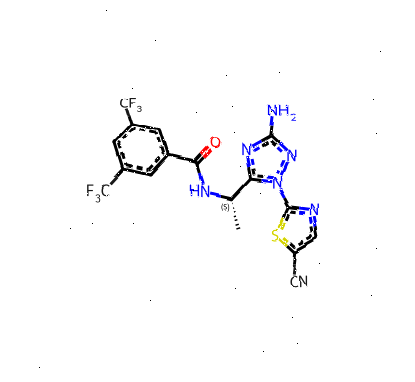 C[C@H](NC(=O)c1cc(C(F)(F)F)cc(C(F)(F)F)c1)c1nc(N)nn1-c1ncc(C#N)s1